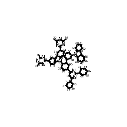 Cc1nc(C)nc(-c2ccc3c(c2)c2cc(-c4nc(C)nc(C)n4)ccc2n3-c2ccc(-c3cc(-c4ccccc4)nc(-c4ccccc4)n3)cc2-c2cccc(-n3c4ccccc4c4ccccc43)c2)n1